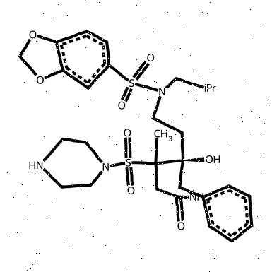 CC(C)CN(CC[C@](O)(Cc1ccccc1)C(C)(CC(N)=O)S(=O)(=O)N1CCNCC1)S(=O)(=O)c1ccc2c(c1)OCO2